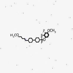 COCCC/C=C/C1CCC(C2CCC(C(F)(F)Oc3ccc(OC)c(F)c3F)CC2)CC1